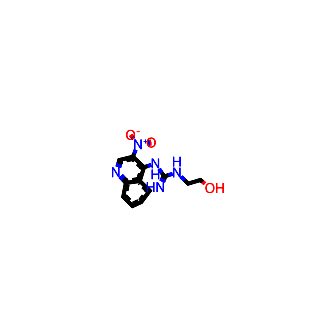 N=C(NCCO)Nc1c([N+](=O)[O-])cnc2ccccc12